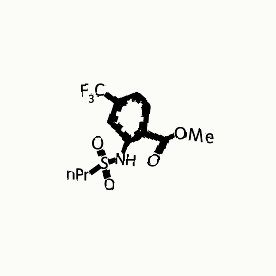 CCCS(=O)(=O)Nc1cc(C(F)(F)F)ccc1C(=O)OC